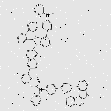 CN(c1ccccc1)c1ccc(-c2cccc3c2c2c4ccccc4c4ccccc4c2n3-c2ccc3cc(-c4cccc5cc(N(c6ccccc6)c6ccc(-c7ccc(-c8cccc9c8c8c%10ccccc%10ccc8n9C)cc7)cc6)ccc45)ccc3c2)cc1